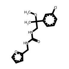 COC(C)(CNC(=O)NCc1ccco1)c1cccc(Cl)c1